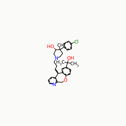 CC(C)(O)c1ccc2c(c1)C(=CCCN1CCC(C)(c3ccc(Cl)cc3)C(O)C1)c1cccnc1CO2